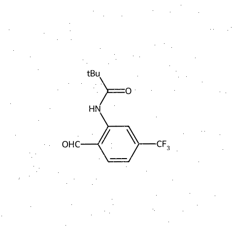 CC(C)(C)C(=O)Nc1cc(C(F)(F)F)ccc1C=O